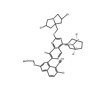 C#Cc1c(Cl)ccc2cc(OCOC)cc(-c3ncc4c(N5C[C@H]6CC[C@@H](C5)N6C(=O)O)nc(OCC56CC(CC)CN5CC(CC)C6)nc4c3F)c12